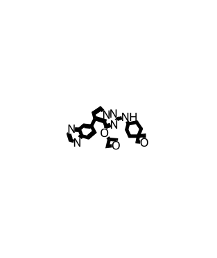 c1cnc2cc(-c3ccn4nc(NC5CCC6(CC5)COC6)nc(OC5COC5)c34)ccc2n1